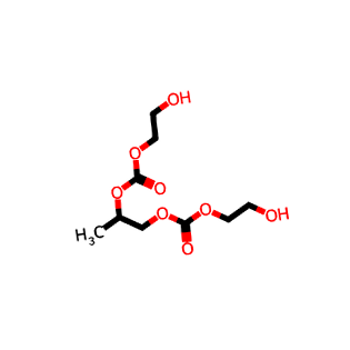 CC(COC(=O)OCCO)OC(=O)OCCO